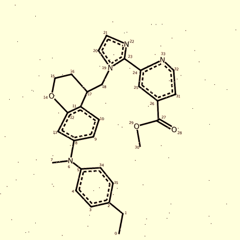 CCc1ccc(N(C)c2ccc3c(c2)OCCC3Cn2ccnc2-c2cc(C(=O)OC)ccn2)cc1